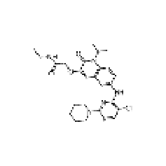 CCNC(=O)COc1cc2cc(Nc3nc(N4CCCCC4)ncc3Cl)ccc2n(C(C)C)c1=O